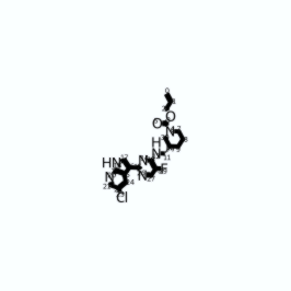 C=CCOC(=O)N1CCC[C@H](CNc2nc(-c3c[nH]c4ncc(Cl)cc34)ncc2F)C1